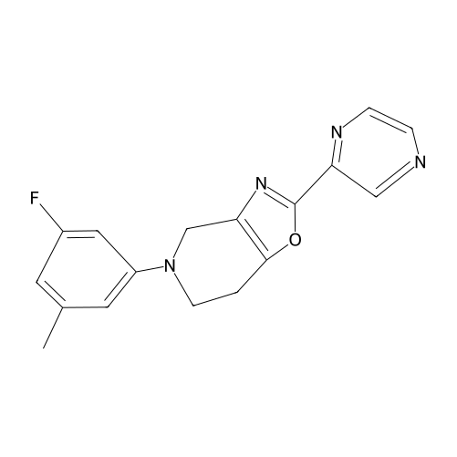 Cc1cc(F)cc(N2CCc3oc(-c4cnccn4)nc3C2)c1